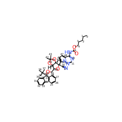 CCCCCOC(=O)Nc1ncnn2c([C@]3(C#N)OC(CO[Si](c4ccccc4)(c4ccccc4)C(C)(C)C)[C@H]4OC(C)(C)O[C@H]43)ccc12